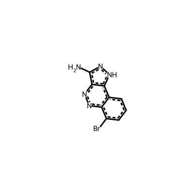 Nc1n[nH]c2c1nnc1c(Br)cccc12